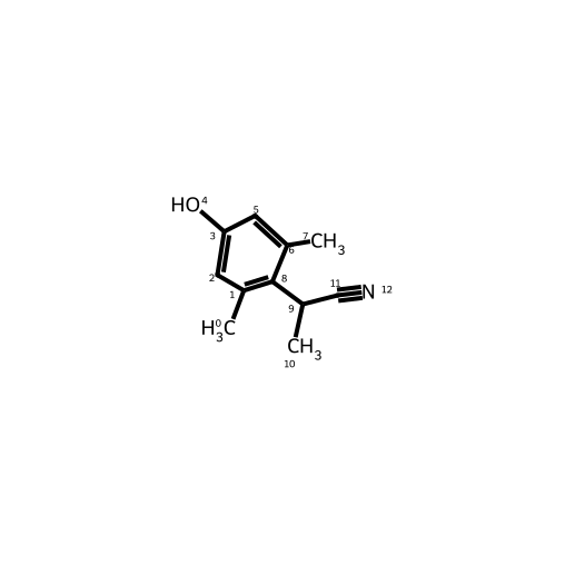 Cc1cc(O)cc(C)c1C(C)C#N